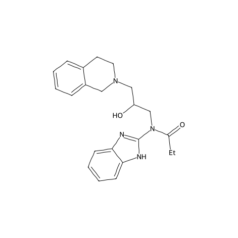 CCC(=O)N(CC(O)CN1CCc2ccccc2C1)c1nc2ccccc2[nH]1